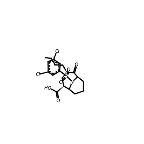 COCCN1C[C@H](C(=O)O)C2CCCC(C1=O)N2S(=O)(=O)c1cc(Cl)cc(Cl)c1